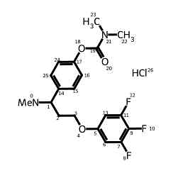 CNC(CCOc1cc(F)c(F)c(F)c1)c1ccc(OC(=O)N(C)C)cc1.Cl